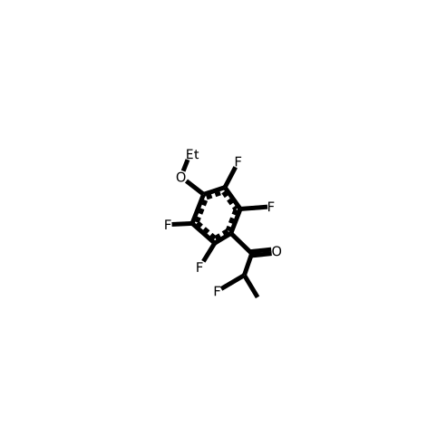 CCOc1c(F)c(F)c(C(=O)C(C)F)c(F)c1F